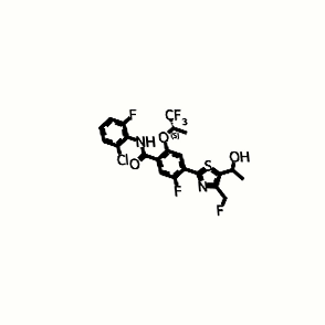 CC(O)c1sc(-c2cc(O[C@@H](C)C(F)(F)F)c(C(=O)Nc3c(F)cccc3Cl)cc2F)nc1CF